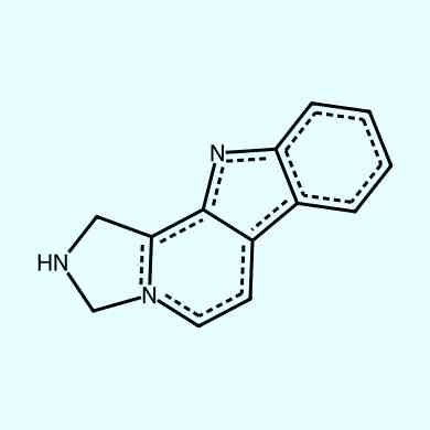 c1ccc2c3ccn4c(c-3nc2c1)CNC4